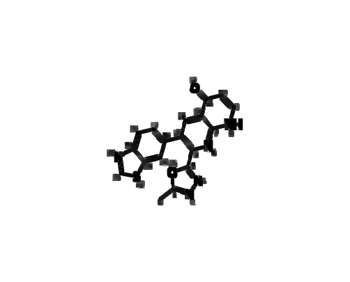 Cc1nnc(-c2nc3[nH]ccc(=O)c3cc2-c2ccc3ncsc3c2)o1